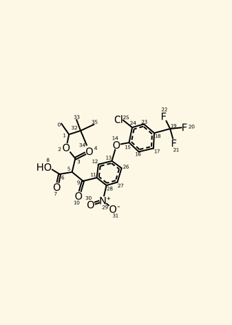 CC(OC(=O)C(C(=O)O)C(=O)c1cc(Oc2ccc(C(F)(F)F)cc2Cl)ccc1[N+](=O)[O-])C(C)(C)C